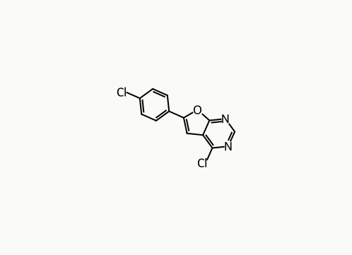 Clc1ccc(-c2cc3c(Cl)ncnc3o2)cc1